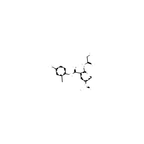 Cc1cc(Cl)ccc1NC(=O)c1cc([N+](=O)[O-])ccc1NC(=O)CF